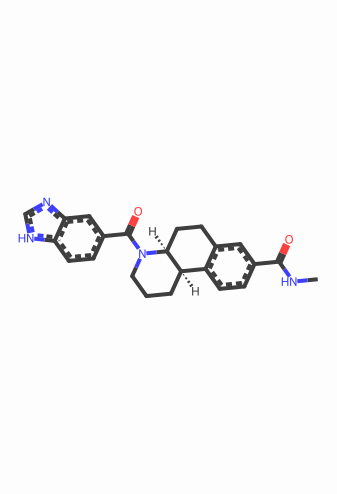 CNC(=O)c1ccc2c(c1)CC[C@H]1[C@@H]2CCCN1C(=O)c1ccc2[nH]cnc2c1